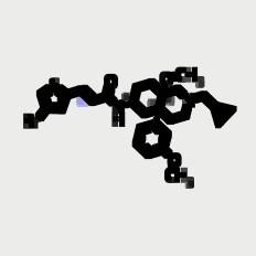 COc1cccc([C@@]23CCN(CC4CC4)C[C@@]2(OC)CC[C@@H](NC(=O)/C=C/c2cc(Br)cs2)C3)c1